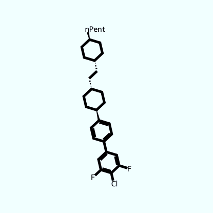 CCCCC[C@H]1CC[C@H](CC[C@H]2CC[C@H](c3ccc(-c4cc(F)c(Cl)c(F)c4)cc3)CC2)CC1